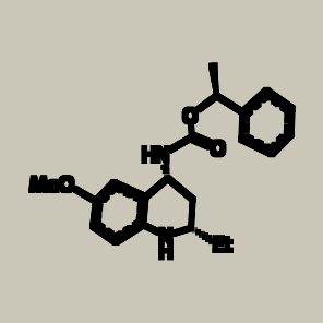 CC[C@H]1C[C@@H](NC(=O)O[C@@H](C)c2ccccc2)c2cc(OC)ccc2N1